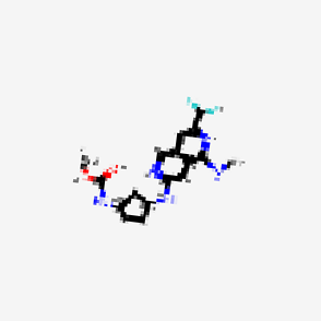 CC(C)Nc1nc(C(F)F)cc2cnc(N[C@H]3CC[C@H](NC(=O)OC(C)(C)C)C3)cc12